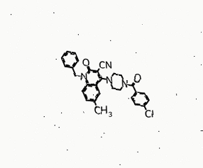 Cc1ccc2c(c1)c(N1CCN(C(=O)c3ccc(Cl)cc3)CC1)c(C#N)c(=O)n2Cc1ccccc1